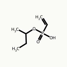 C=CP(=O)(O)OC(C)CC